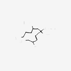 CCCC(C)C(O)(CCC(CC)CO)CC(C)CCCO